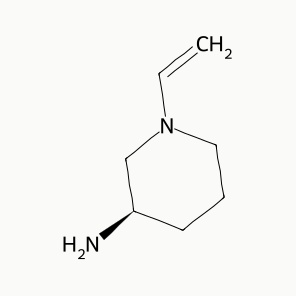 C=CN1CCC[C@@H](N)C1